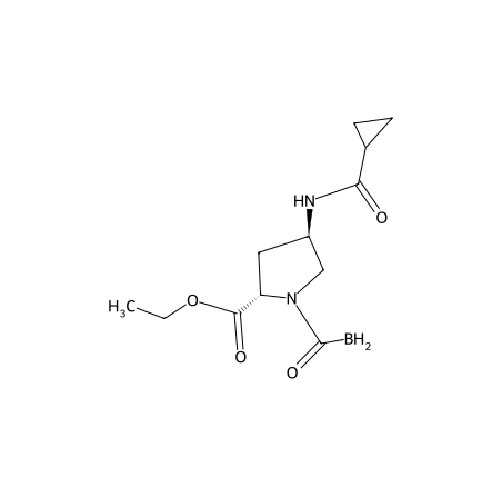 BC(=O)N1C[C@H](NC(=O)C2CC2)C[C@H]1C(=O)OCC